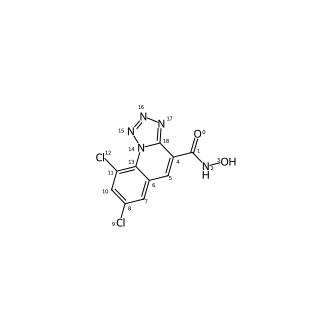 O=C(NO)c1cc2cc(Cl)cc(Cl)c2n2nnnc12